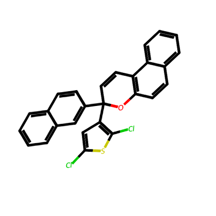 Clc1cc(C2(c3ccc4ccccc4c3)C=Cc3c(ccc4ccccc34)O2)c(Cl)s1